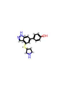 Oc1ccc(-c2cc(SC3CCNC3)c3cn[nH]c3c2)cc1